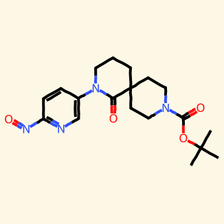 CC(C)(C)OC(=O)N1CCC2(CCCN(c3ccc(N=O)nc3)C2=O)CC1